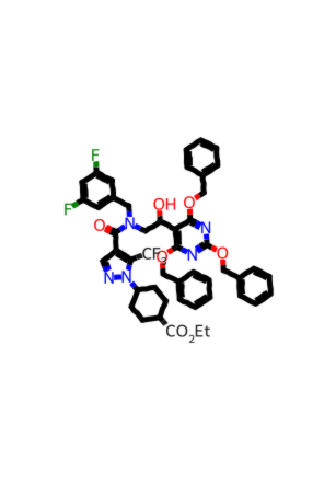 CCOC(=O)C1CCC(n2ncc(C(=O)N(Cc3cc(F)cc(F)c3)CC(O)c3c(OCc4ccccc4)nc(OCc4ccccc4)nc3OCc3ccccc3)c2C(F)(F)F)CC1